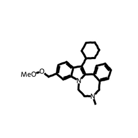 COOCc1ccc2c(C3CCCCC3)c3n(c2c1)CCN(C)Cc1ccccc1-3